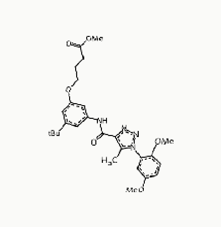 COC(=O)CCCOc1cc(NC(=O)c2nnn(-c3cc(OC)ccc3OC)c2C)cc(C(C)(C)C)c1